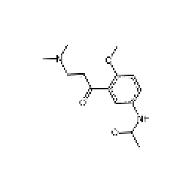 COc1ccc(NC(C)=O)cc1C(=O)/C=C/N(C)C